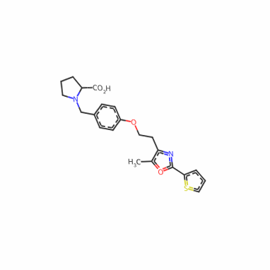 Cc1oc(-c2cccs2)nc1CCOc1ccc(CN2CCCC2C(=O)O)cc1